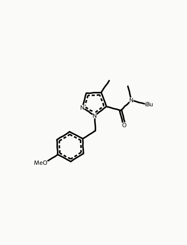 CCC(C)N(C)C(=O)c1c(C)cnn1Cc1ccc(OC)cc1